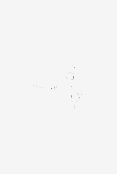 COCCNC[C@H](CC=O)N(Cc1ccc(F)cc1F)c1ccc(C#N)c(Cl)c1